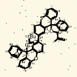 C=C(C)C(=O)OC1(C2CC3C=CC2O3)c2ccccc2Sc2ccc(-c3ccc4c(c3)C(OC(=O)C(C)(C)C)(c3cc5ccc3o5)c3ccccc3O4)cc21